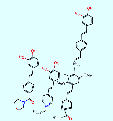 COC(=O)c1ccc(C=Cc2cc(OC)c(C)c(C)c2OC)cc1.O=C(O)C[n+]1ccc(C=Cc2ccc(O)c(O)c2)cc1.O=C(c1ccc(C=Cc2ccc(O)c(O)c2)cc1)N1CCOCC1.O=[N+]([O-])C=Cc1ccc(C=Cc2ccc(O)c(O)c2)cc1